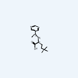 C[C@H](N[C@@H](CCC(C)(C)C)C(=O)O)c1cncnc1